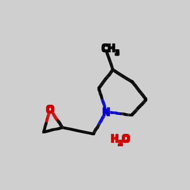 CC1CCCN(CC2CO2)C1.O